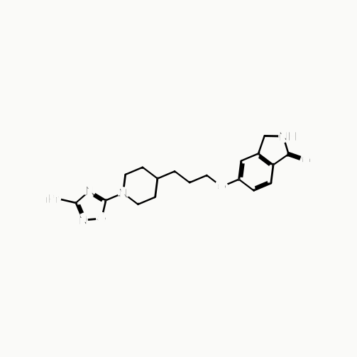 CC(C)c1noc(N2CCC(CCCOc3ccc4c(c3)CNC4=O)CC2)n1